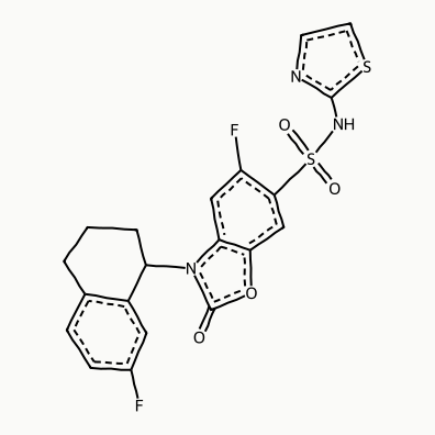 O=c1oc2cc(S(=O)(=O)Nc3nccs3)c(F)cc2n1C1CCCc2ccc(F)cc21